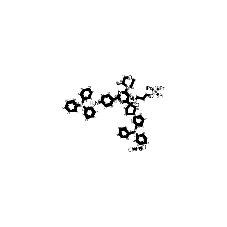 CC(C)[Si](OCCCS(=O)(=O)C1(c2cc(N3CCOC[C@@H]3C)nc(-c3ccc(N)cc3)n2)CCCC1)(C(C)C)C(C)C.[Cl][Pd][Cl].c1ccc(P(c2ccccc2)c2ccccc2)cc1.c1ccc(P(c2ccccc2)c2ccccc2)cc1